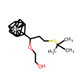 CC(C)(C)SCCC(OCCO)[C]12[CH]3[CH]4[CH]5[CH]1[Fe]45321678[CH]2[CH]1[CH]6[CH]7[CH]28